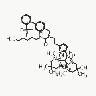 CCCCCCNC(=O)N(CCc1ccc(NC([P]2(O)N(C)CC(C)(C)CN2C)[P]2(O)N(C)CC(C)(C)CN2C)s1)Cc1ccc(-c2ccccc2C(F)(F)F)cc1